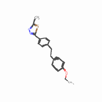 CCOc1ccc(CCc2ccc(-c3nnc(C)s3)cc2)cc1